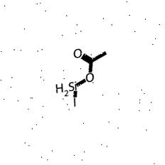 CC(=O)O[SiH2]I